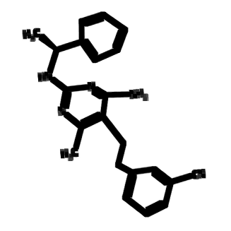 Cc1nc(N[C@@H](C)c2ccccc2)nc(N)c1CCc1cccc(C#N)c1